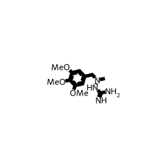 COc1cc(CN(C)NC(=N)N)cc(OC)c1OC